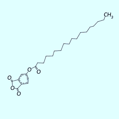 CCCCCCCCCCCCCCCCCC(=O)Oc1ccc2c(c1)C(=O)OC2=O